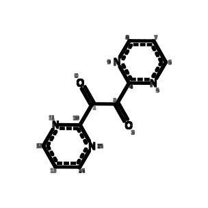 O=C(C(=O)c1ncccn1)c1ncccn1